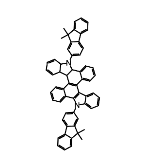 CC1(C)c2ccccc2-c2ccc(N3C4C=CC=CC4C4c5c(c6c7ccccc7n(-c7ccc8c(c7)C(C)(C)c7ccccc7-8)c6c6ccccc56)-c5ccccc5C43)cc21